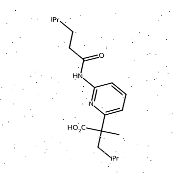 CC(C)CCC(=O)Nc1cccc(C(C)(CC(C)C)C(=O)O)n1